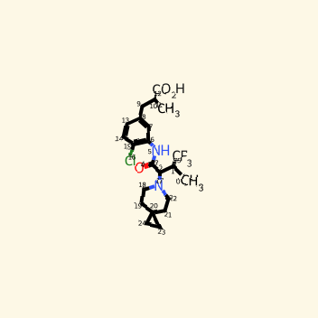 CC(C(C(=O)Nc1cc(C[C@H](C)C(=O)O)ccc1Cl)N1CCC2(CC1)CC2)C(F)(F)F